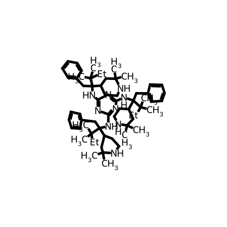 CCC(C)(C)C(Cc1ccccc1)(Nc1nc(NC(Cc2ccccc2)(C2CCNC(C)(C)C2)C(C)(C)CC)nc(NC(Cc2ccccc2)(C2CCNC(C)(C)C2)C(C)(C)CC)n1)C1CCNC(C)(C)C1